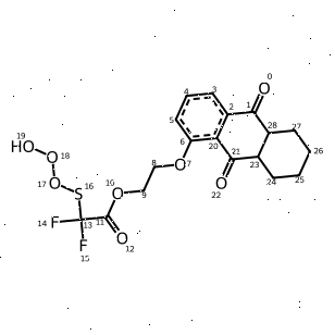 O=C1c2cccc(OCCOC(=O)C(F)(F)SOOO)c2C(=O)C2CCCCC12